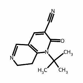 CC(C)(C)n1c2c(cc(C#N)c1=O)C=NCC2